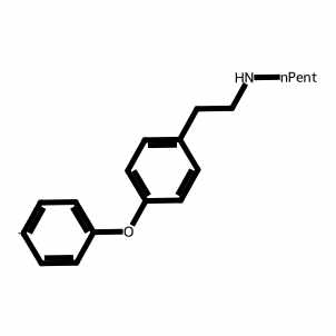 CCCCCNCCc1ccc(Oc2cc[c]cc2)cc1